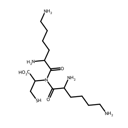 NCCCCC(N)C(=O)N(C(=O)C(N)CCCCN)C(CS)C(=O)O